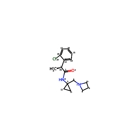 C[C@H](C(=O)NC1(CN2CCC2)CC1)c1ccccc1Cl